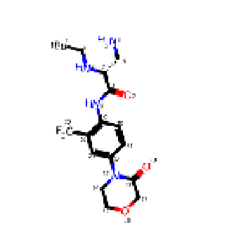 CC(C)(C)CN[C@H](CN)C(=O)Nc1ccc(N2CCOCC2=O)cc1C(F)(F)F